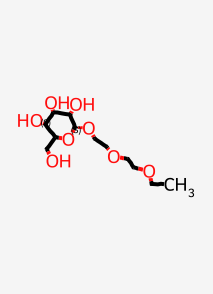 CCOCCOCCO[C@H]1OC(CO)[C@@H](O)C(O)C1O